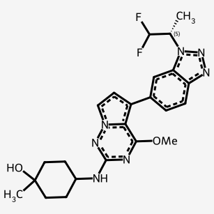 COc1nc(NC2CCC(C)(O)CC2)nn2ccc(-c3ccc4nnn([C@@H](C)C(F)F)c4c3)c12